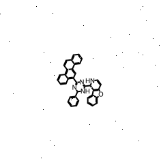 C1=Cc2oc3ccccc3c2C(C2=NC(c3cc4c5ccccc5ccc4c4ccccc34)=NC(c3ccccc3)N2)N1